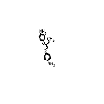 CCC(COc1ccc(N)cc1)Oc1ccc(N)cc1